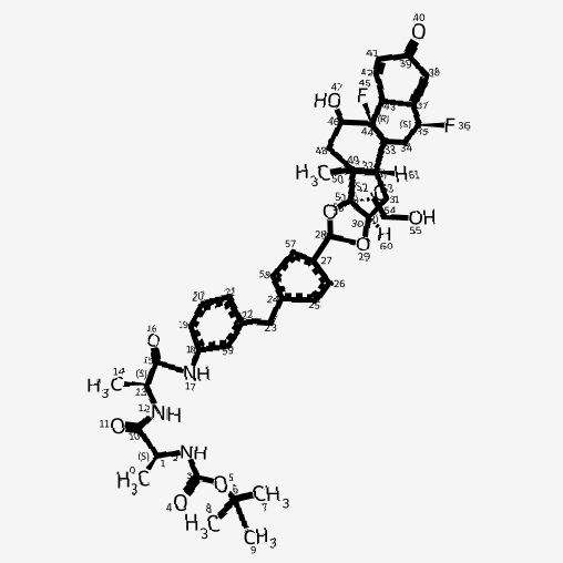 C[C@H](NC(=O)OC(C)(C)C)C(=O)N[C@@H](C)C(=O)Nc1cccc(Cc2ccc(C3O[C@@H]4C[C@H]5C6C[C@H](F)C7=CC(=O)C=CC7[C@@]6(F)C(O)CC5(C)[C@]4(C(=O)CO)O3)cc2)c1